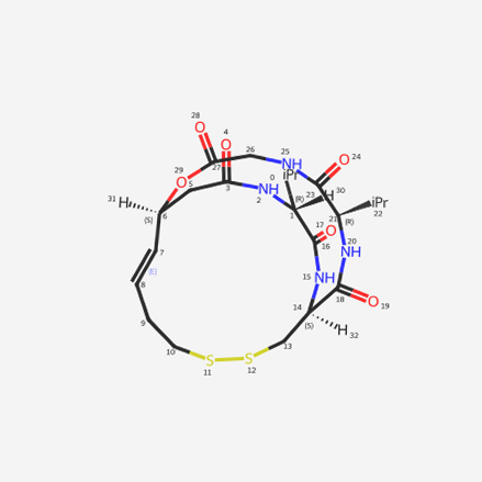 CC(C)[C@H]1NC(=O)C[C@H]2/C=C/CCSSC[C@@H](NC1=O)C(=O)N[C@H](C(C)C)C(=O)NCC(=O)O2